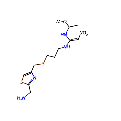 COC(C)NC(=C[N+](=O)[O-])NCCCSCc1csc(CN)n1